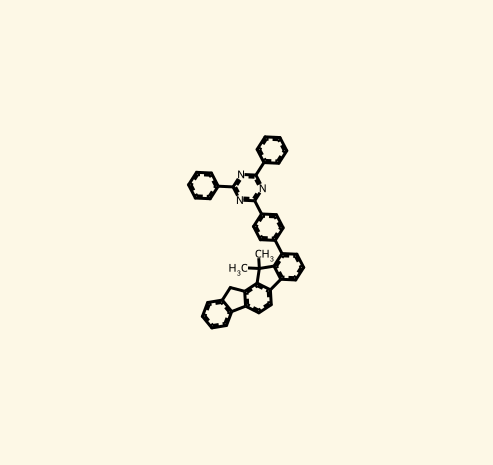 CC1(C)c2c(-c3ccc(-c4nc(-c5ccccc5)nc(-c5ccccc5)n4)cc3)cccc2-c2ccc3c(c21)Cc1ccccc1-3